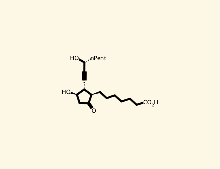 CCCCC[C@@H](O)C#C[C@H]1[C@H](O)CC(=O)[C@@H]1CCCCCCC(=O)O